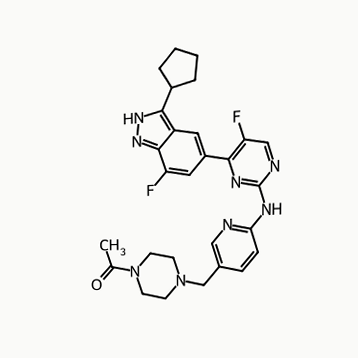 CC(=O)N1CCN(Cc2ccc(Nc3ncc(F)c(-c4cc(F)c5n[nH]c(C6CCCC6)c5c4)n3)nc2)CC1